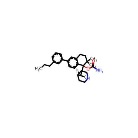 CCCc1cccc(-c2ccc3c(c2)CCC(C)(C)[C@]3(OC(N)=O)[C@@H]2CN3CCC2CC3)c1